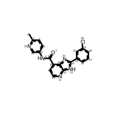 Cc1ccc(NC(=O)c2ccnc3[nH]c(-c4cccc(Cl)c4)nc23)cn1